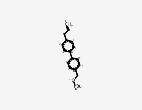 C=CCc1ccc(-c2ccc(COCCCC)cc2)cc1